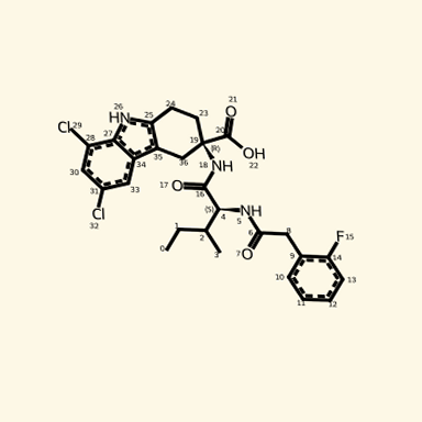 CCC(C)[C@H](NC(=O)Cc1ccccc1F)C(=O)N[C@]1(C(=O)O)CCc2[nH]c3c(Cl)cc(Cl)cc3c2C1